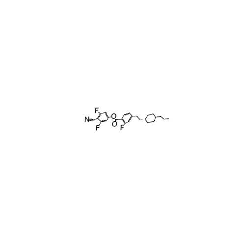 CCC[C@H]1CC[C@H](CCc2ccc(C(=O)Oc3cc(F)c(C#N)c(F)c3)c(F)c2)CC1